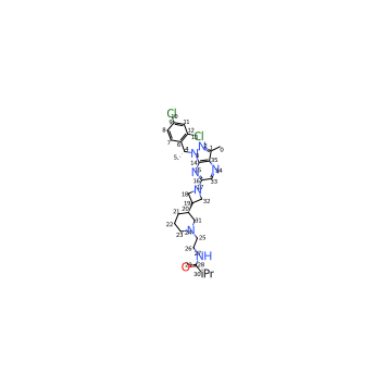 Cc1nn([C@H](C)c2ccc(Cl)cc2Cl)c2nc(N3CC([C@@H]4CCCN(CCNC(=O)C(C)C)C4)C3)cnc12